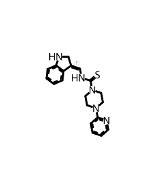 S=C(N/C=C1/CNc2ccccc21)N1CCN(c2ccccn2)CC1